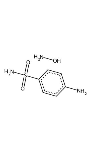 NO.Nc1ccc(S(N)(=O)=O)cc1